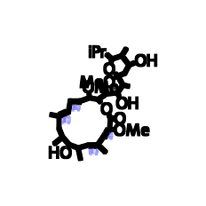 CO/C1=C\C(C)=C\C(C)C(O)C(C)C/C(C)=C/C=C/C(OC)C(C(C)C(O)C(C)C2(OC)CC(O)C(C)C(C(C)C)O2)OC1=O